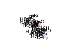 CCCCOC(=O)C1CC(O[C@H]2CC[C@]3(C)[C@H]4C=CC5[C@@H]6CC(C)(C)CC[C@]6(C(=O)OC6OC(C)C(OC(=O)/C=C\c7ccc(C)cc7)C(OC(C)=O)C6OC6CC(C)C(O)C(O)C6O)[C@H](O)C[C@@]5(C)[C@]4(C)CC[C@H]3[C@]2(C)C=O)C(OC2OC(CO)C(O)C(O)C2O)C(OC2OCC(O)C(O)C2O)C1O